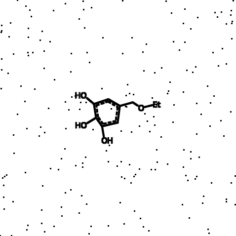 CCOCc1cc(O)c(O)c(O)c1